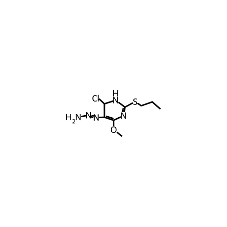 CCCSC1=NC(OC)=C(N=NN)C(Cl)N1